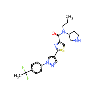 CCCN(C(=O)c1csc(-c2cnn(-c3ccc(C(C)(F)F)cc3)c2)n1)C1CCNC1